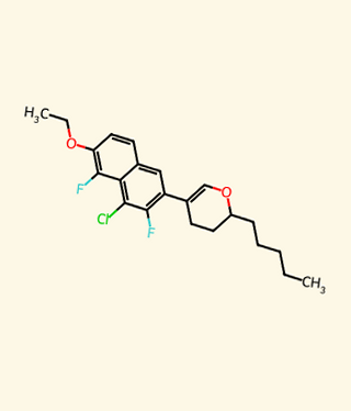 CCCCCC1CCC(c2cc3ccc(OCC)c(F)c3c(Cl)c2F)=CO1